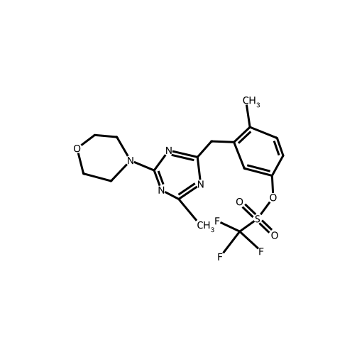 Cc1nc(Cc2cc(OS(=O)(=O)C(F)(F)F)ccc2C)nc(N2CCOCC2)n1